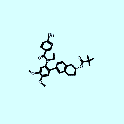 CCN(C(=O)c1ccc(O)cc1)c1cc(OC)c(OC)cc1-c1ccc2c(c1)CC[C@@H](OC(=O)C(C)(C)C)C2